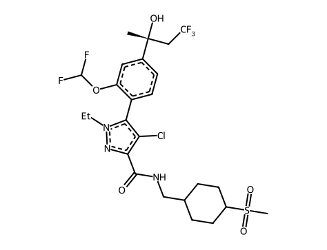 CCn1nc(C(=O)NCC2CCC(S(C)(=O)=O)CC2)c(Cl)c1-c1ccc([C@](C)(O)CC(F)(F)F)cc1OC(F)F